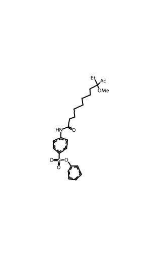 CCC(CCCCCCCC(=O)Nc1ccc(S(=O)(=O)Oc2ccccc2)cc1)(OC)C(C)=O